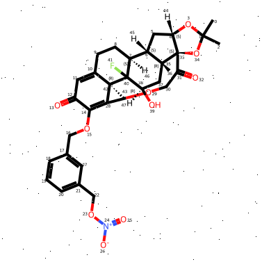 CC1(C)O[C@H]2C[C@H]3[C@@H]4CCC5=CC(=O)C(OCc6cccc(CO[N+](=O)[O-])c6)=C6OCC(=O)[C@]2(O1)[C@]3(C)C[C@@H](O)C4(F)[C@]56C